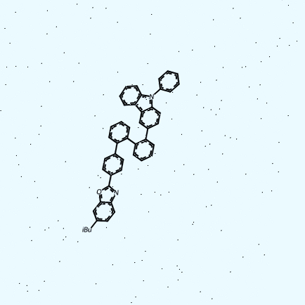 CCC(C)c1ccc2nc(-c3ccc(-c4ccccc4-c4ccccc4-c4ccc5c(c4)c4ccccc4n5-c4ccccc4)cc3)oc2c1